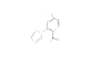 Cc1ccc(C(=O)O)c(-n2cncn2)c1